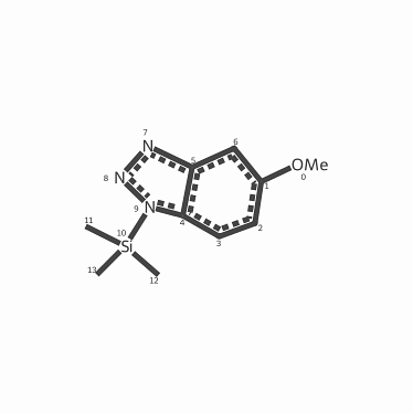 COc1ccc2c(c1)nnn2[Si](C)(C)C